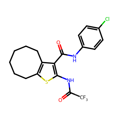 O=C(Nc1ccc(Cl)cc1)c1c(NC(=O)C(F)(F)F)sc2c1CCCCCC2